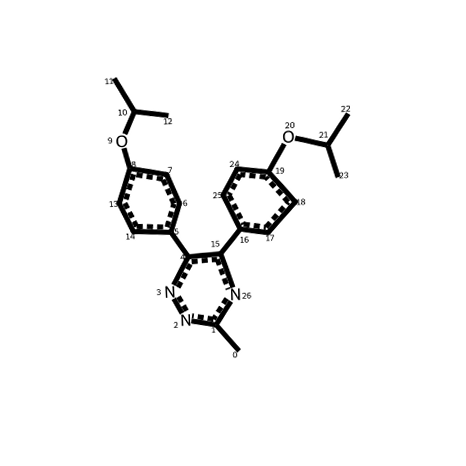 Cc1nnc(-c2ccc(OC(C)C)cc2)c(-c2ccc(OC(C)C)cc2)n1